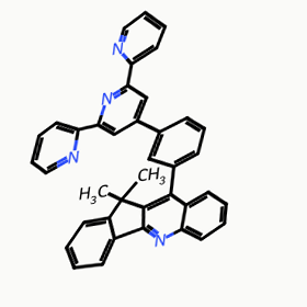 CC1(C)c2ccccc2-c2nc3ccccc3c(-c3cccc(-c4cc(-c5ccccn5)nc(-c5ccccn5)c4)c3)c21